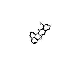 Fc1cncc2cnc(-c3cccc4cccc(Cl)c34)nc12